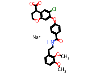 COc1cccc(CCNC(=O)c2ccc(Oc3cc4c(cc3Cl)C(C(=O)[O-])CCO4)cc2)c1OC.[Na+]